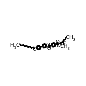 CCCCCCCCCCOc1ccc(-c2ccc(OC(=O)c3ccc(C(=O)O[C@@H](C)C[C@@H](F)CCCC)cc3)cc2)cc1